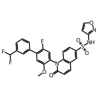 COc1cc(-c2cccc(C(F)F)c2)c(F)cc1-n1c(=O)ccc2cc(S(=O)(=O)Nc3ccon3)ccc21